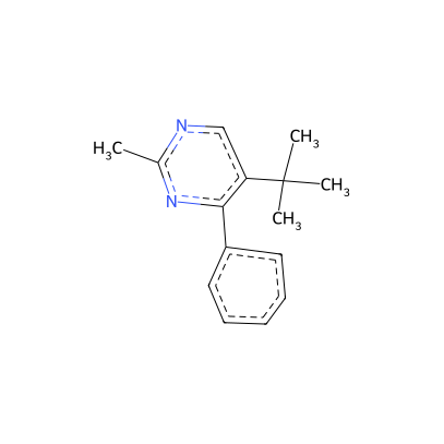 Cc1ncc(C(C)(C)C)c(-c2ccccc2)n1